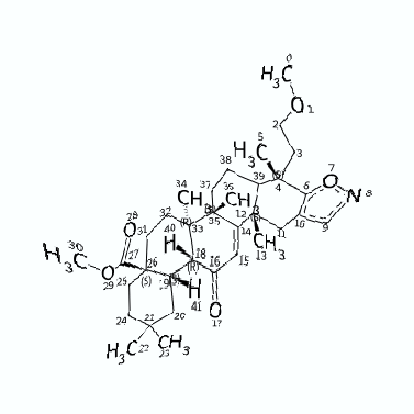 COCC[C@]1(C)c2oncc2C[C@]2(C)C3=CC(=O)[C@@H]4[C@@H]5CC(C)(C)CC[C@]5(C(=O)OC)CC[C@@]4(C)[C@]3(C)CCC21